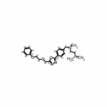 CN(C)CCN(C)Cc1ccc(-c2nnc(CSCCOc3ccccc3)o2)cc1